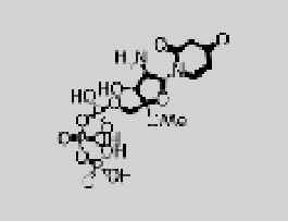 CO[C@]1(COP(=O)(O)OP(=O)(O)OP(=O)(O)O)O[C@@H](N2C=CC(=O)CC2=O)[C@H](N)[C@@H]1O